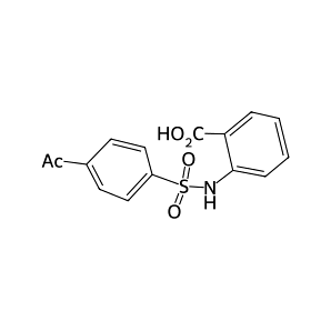 CC(=O)c1ccc(S(=O)(=O)Nc2ccccc2C(=O)O)cc1